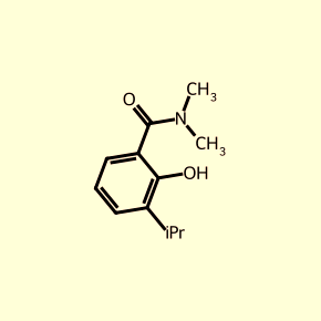 CC(C)c1cccc(C(=O)N(C)C)c1O